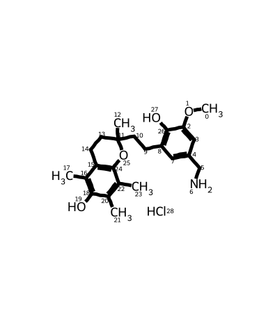 COc1cc(CN)cc(CCC2(C)CCc3c(C)c(O)c(C)c(C)c3O2)c1O.Cl